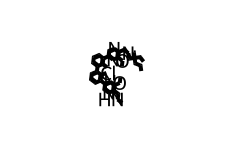 CCCC1(CC)CN(Cc2ncc(-c3cccc(-c4cccc(-c5cnc(CNC)c(OC)n5)c4Cl)c3C)nc2OC)C1